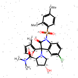 COc1ccc(S(=O)(=O)N2C(=O)C(c3occc3C)(N3C[C@H](O)C[C@H]3C(=O)N(C)C)c3cc(Cl)ccc32)c(OC)c1